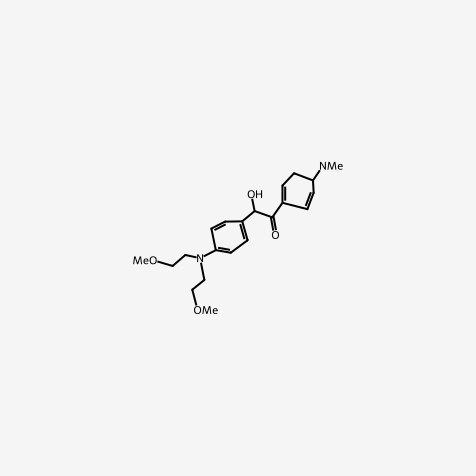 CNC1C=CC(C(=O)C(O)c2ccc(N(CCOC)CCOC)cc2)=CC1